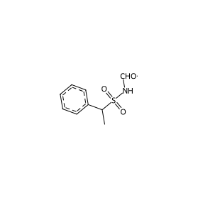 CC(c1ccccc1)S(=O)(=O)N[C]=O